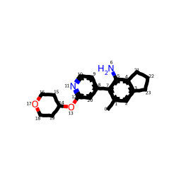 Cc1cc2c(c(N)c1-c1ccnc(OC3CCOCC3)c1)CCC2